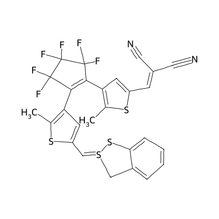 Cc1sc(C=C(C#N)C#N)cc1C1=C(c2cc(C=S3Cc4ccccc4S3)sc2C)C(F)(F)C(F)(F)C1(F)F